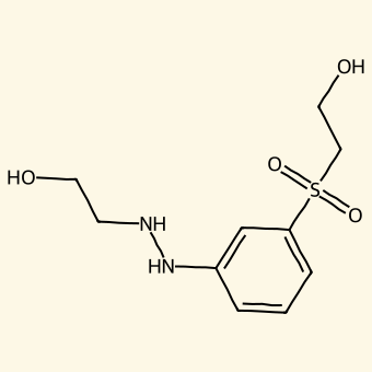 O=S(=O)(CCO)c1cccc(NNCCO)c1